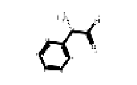 CCC(=O)[C@@H](N)c1ccccc1